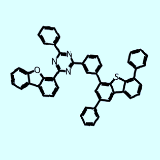 c1ccc(-c2cc(-c3cccc(-c4nc(-c5ccccc5)nc(-c5cccc6c5oc5ccccc56)n4)c3)c3sc4c(-c5ccccc5)cccc4c3c2)cc1